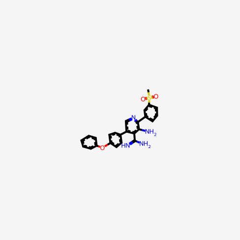 CS(=O)(=O)c1cccc(-c2ncc(-c3ccc(Oc4ccccc4)cc3)c(C(=N)N)c2N)c1